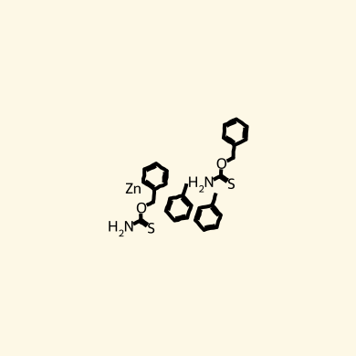 Cc1ccccc1.Cc1ccccc1.NC(=S)OCc1ccccc1.NC(=S)OCc1ccccc1.[Zn]